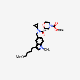 COCCCCc1cn(C)c2ccc(CN(C(=O)[C@H]3CN(C(=O)OC(C)(C)C)CCO3)C3CC3)cc12